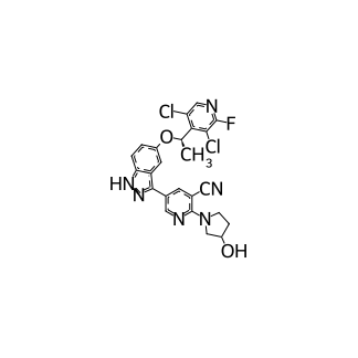 C[C@@H](Oc1ccc2[nH]nc(-c3cnc(N4CCC(O)C4)c(C#N)c3)c2c1)c1c(Cl)cnc(F)c1Cl